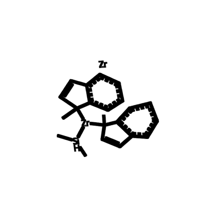 C[SiH](C)[Zr]([C]1(C)C=Cc2ccccc21)[C]1(C)C=Cc2ccccc21.[Zr]